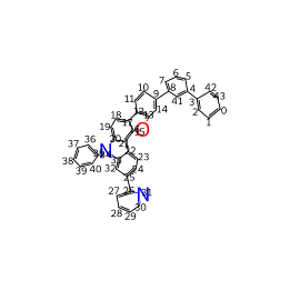 c1ccc(-c2cccc(-c3ccc4c(c3)oc3c4ccc4c3c3ccc(-c5ccccn5)cc3n4-c3ccccc3)c2)cc1